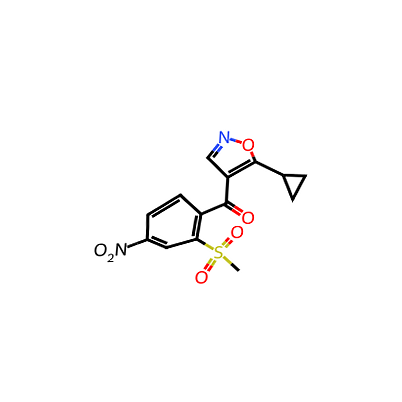 CS(=O)(=O)c1cc([N+](=O)[O-])ccc1C(=O)c1cnoc1C1CC1